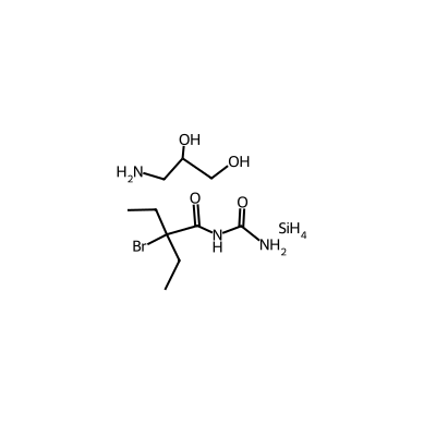 CCC(Br)(CC)C(=O)NC(N)=O.NCC(O)CO.[SiH4]